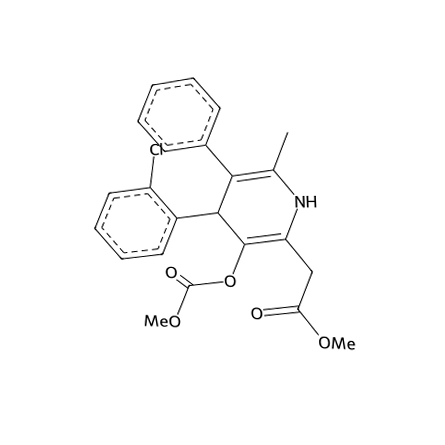 COC(=O)CC1=C(OC(=O)OC)C(c2ccccc2Cl)C(c2ccccc2)=C(C)N1